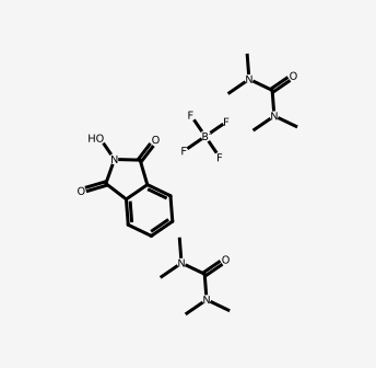 CN(C)C(=O)N(C)C.CN(C)C(=O)N(C)C.F[B-](F)(F)F.O=C1c2ccccc2C(=O)N1O